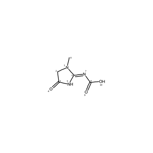 CN1CC(=O)NC1=NC(=O)O